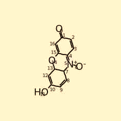 O=C1C=CC2=[N+]([O-])C3C=CC(O)=CC3OC2=C1